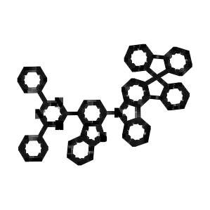 c1ccc(-c2nc(-c3ccccc3)nc(-c3ccc(-n4c5ccccc5c5c6c(ccc54)C4(c5ccccc5-c5ccccc54)c4ccccc4-6)c4sc5ccccc5c34)n2)cc1